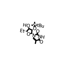 CC[C@H]1O[C@@H](n2cc(C)c(=O)[nH]c2=O)[C@@H](O[Si](C)(C)C(C)(C)C)C1O